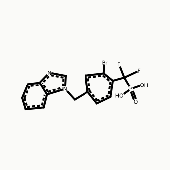 O=P(O)(O)C(F)(F)c1ccc(Cn2cnc3ccccc32)cc1Br